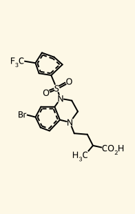 CC(CCN1CCN(S(=O)(=O)c2cccc(C(F)(F)F)c2)c2cc(Br)ccc21)C(=O)O